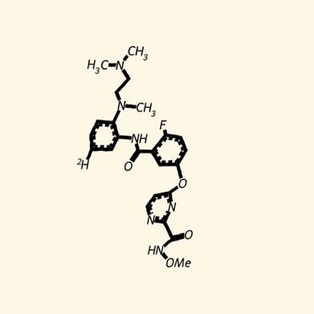 [2H]c1ccc(N(C)CCN(C)C)c(NC(=O)c2cc(Oc3ccnc(C(=O)NOC)n3)ccc2F)c1